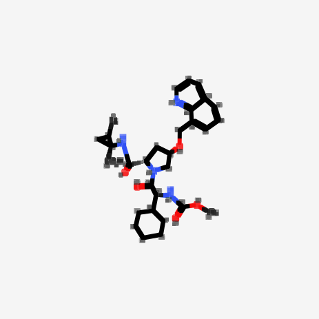 CCC1C[C@]1(NC(=O)[C@@H]1C[C@@H](OCc2cccc3cccnc23)CN1C(=O)[C@@H](NC(=O)OC(C)(C)C)C1CCCCC1)C(=O)O